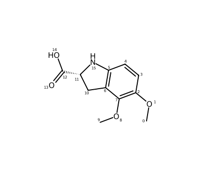 COc1ccc2c(c1OC)C[C@H](C(=O)O)N2